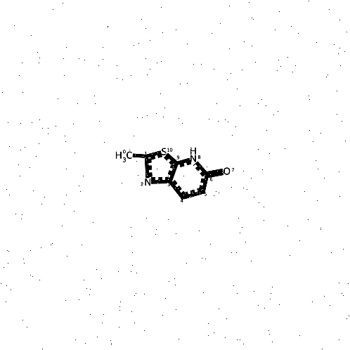 Cc1nc2ccc(=O)[nH]c2s1